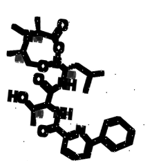 CC(C)C[C@H](NC(=O)C(NC(=O)c1cccc(-c2ccccc2)n1)[C@@H](C)O)B1OC[C@@H](C)N(C)[C@@H](C)C(=O)O1